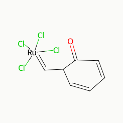 O=C1C=CC=CC1[CH]=[Ru]([Cl])([Cl])([Cl])[Cl]